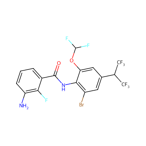 Nc1cccc(C(=O)Nc2c(Br)cc(C(C(F)(F)F)C(F)(F)F)cc2OC(F)F)c1F